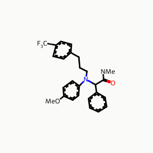 CNC(=O)C(c1ccccc1)N(CCCc1ccc(C(F)(F)F)cc1)c1ccc(OC)cc1